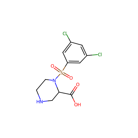 O=C(O)C1CNCCN1S(=O)(=O)c1cc(Cl)cc(Cl)c1